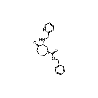 O=C1CCCN(C(=O)OCc2ccccc2)CC1NCc1ccccn1